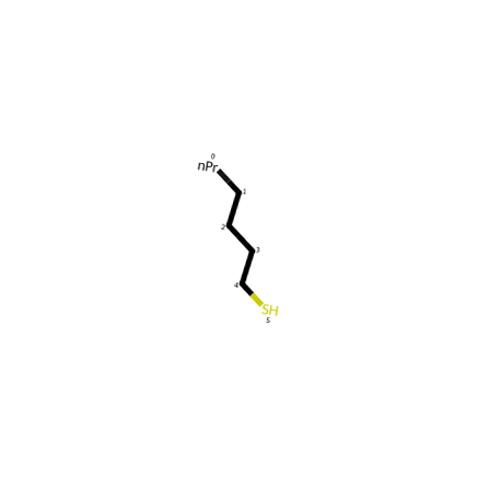 C[CH]CCCCCS